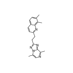 Cc1ccc2ccc(CCc3nc4c(C)ncc(C)n4n3)nc2c1C